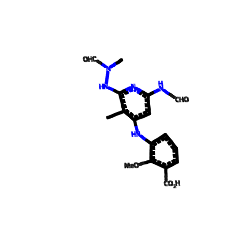 COc1c(Nc2cc(NC=O)nc(NN(C)C=O)c2C)cccc1C(=O)O